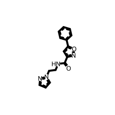 O=C(NCCn1cccn1)c1cc(-c2ccccc2)on1